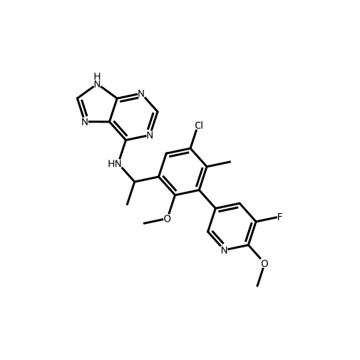 COc1ncc(-c2c(C)c(Cl)cc(C(C)Nc3ncnc4[nH]cnc34)c2OC)cc1F